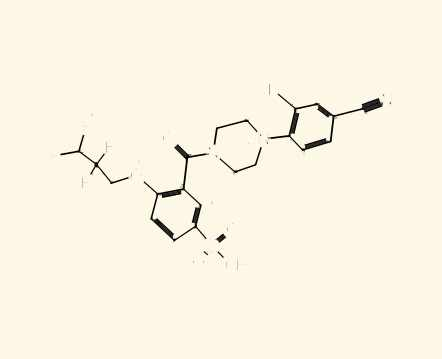 CS(=O)(=O)c1ccc(OCC(F)(F)C(F)F)c(C(=O)N2CCN(c3ccc(C#N)cc3F)CC2)c1